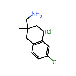 CC1(CN)CCc2cc(Cl)ccc2C1.Cl